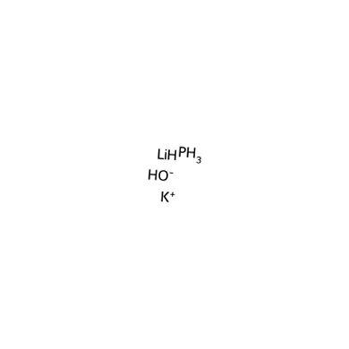 P.[K+].[LiH].[OH-]